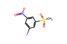 CS(=O)(=O)c1cc(I)cc([N+](=O)[O-])c1